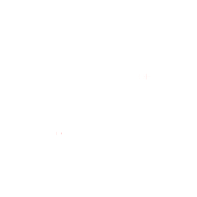 COc1ccc2c3ccc(O)cc3c3ccccc3c2c1